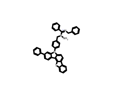 NN(Cc1ccc(-n2c3cc(-c4ccccc4)ccc3c3c4sc5ccccc5c4ccc32)cc1)/C(=N\Cc1ccccc1)c1ccccc1